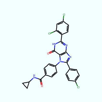 O=C(NC1CC1)c1ccc(-n2c(-c3ccc(Cl)cc3)nc3nc(-c4ccc(Cl)cc4Cl)[nH]c(=O)c32)cc1